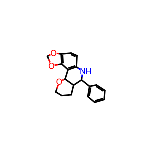 c1ccc(C2Nc3ccc4c(c3C3OCCCC23)OCO4)cc1